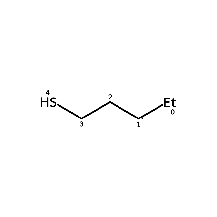 CC[CH]CCS